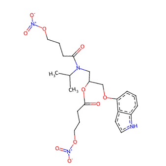 CC(C)N(CC(COc1cccc2[nH]ccc12)OC(=O)CCCO[N+](=O)[O-])C(=O)CCCO[N+](=O)[O-]